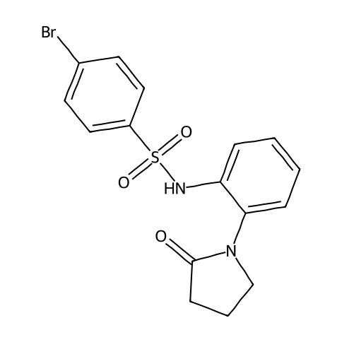 O=C1CCCN1c1ccccc1NS(=O)(=O)c1ccc(Br)cc1